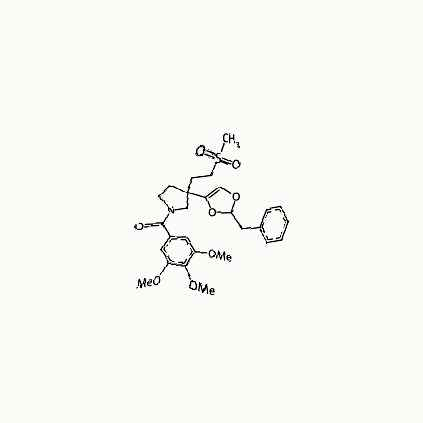 COc1cc(C(=O)N2CCC(CCS(C)(=O)=O)(C3=COC(Cc4ccccc4)O3)C2)cc(OC)c1OC